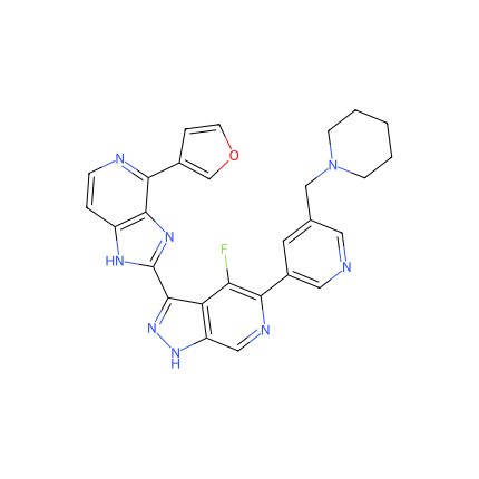 Fc1c(-c2cncc(CN3CCCCC3)c2)ncc2[nH]nc(-c3nc4c(-c5ccoc5)nccc4[nH]3)c12